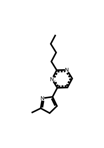 CCCCc1nccc(C2=CCC(C)=N2)n1